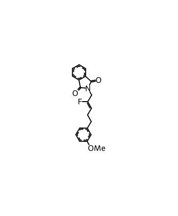 COc1cccc(CCC=C(F)CN2C(=O)c3ccccc3C2=O)c1